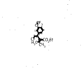 CCOC(=O)C1C(C(=CCl)c2cccc(OC(F)(F)F)c2)C1(C)C